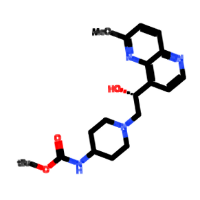 COc1ccc2nccc([C@@H](O)CN3CCC(NC(=O)OC(C)(C)C)CC3)c2n1